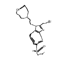 CC(C)S(=O)(=O)c1ccc2c(c1)nc(CC(C)(C)C)n2CCN1CCOCC1